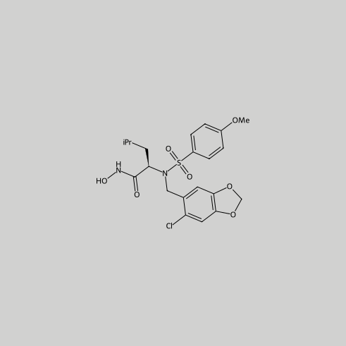 COc1ccc(S(=O)(=O)N(Cc2cc3c(cc2Cl)OCO3)[C@H](CC(C)C)C(=O)NO)cc1